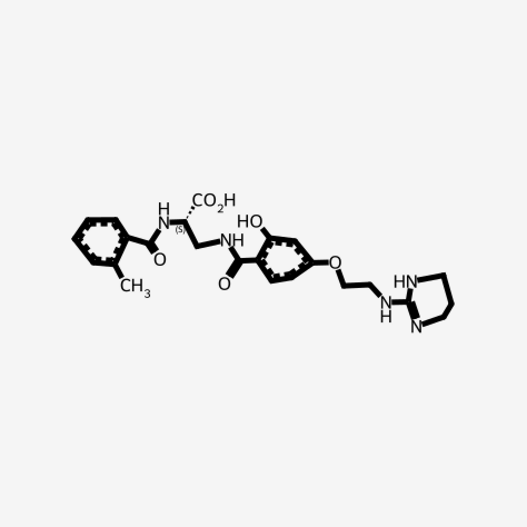 Cc1ccccc1C(=O)N[C@@H](CNC(=O)c1ccc(OCCNC2=NCCCN2)cc1O)C(=O)O